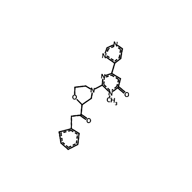 Cn1c(N2CCOC(C(=O)Cc3ccccc3)C2)nc(-c2ccncn2)cc1=O